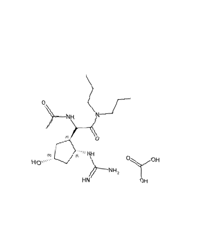 CCCN(CCC)C(=O)C(NC(C)=O)[C@@H]1C[C@@H](O)C[C@H]1NC(=N)N.O=C(O)O